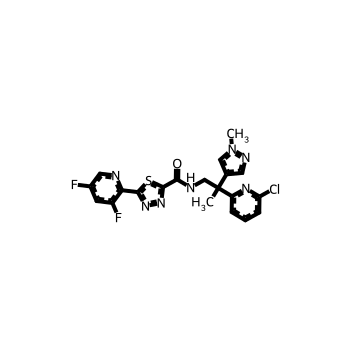 Cn1cc(C(C)(CNC(=O)c2nnc(-c3ncc(F)cc3F)s2)c2cccc(Cl)n2)cn1